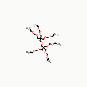 C=COCOCC(COCOC=C)(COCOC=C)COCC(COCOC=C)(COCOC=C)COCOC=C